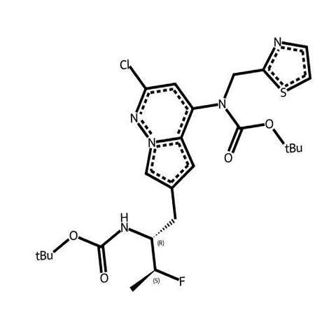 C[C@H](F)[C@@H](Cc1cc2c(N(Cc3nccs3)C(=O)OC(C)(C)C)cc(Cl)nn2c1)NC(=O)OC(C)(C)C